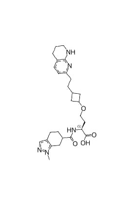 Cn1ncc2c1CC(C(=O)N[C@@H](CCOC1CC(CCc3ccc4c(n3)NCCC4)C1)C(=O)O)CC2